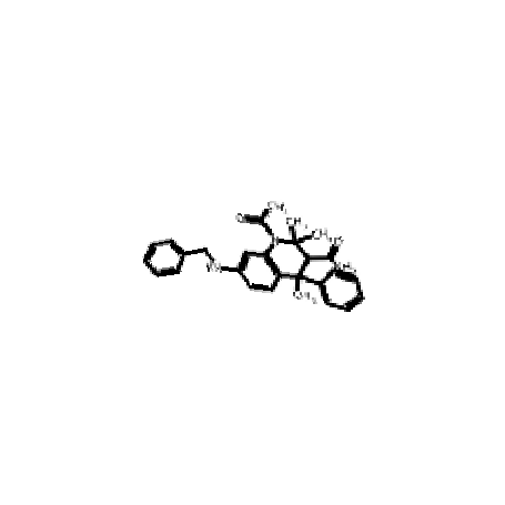 CC(=O)N1c2cc(NCc3ccccc3)[c]cc2C(C)(c2ccccc2)C(C(N)=O)C1(C)C